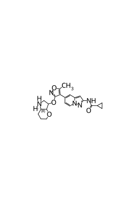 Cc1onc(OC2CN[C@@H]3CCCOC23)c1-c1ccn2nc(NC(=O)C3CC3)cc2c1